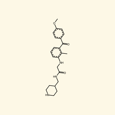 COc1ccc(C(=O)c2cccc(NCC(=O)NCC3CCNCC3)c2C)cc1